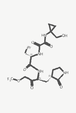 CC(C)C[C@H](NC(=O)C(=O)NC1(CO)CC1)C(=O)N[C@@H](C[C@@H]1CCNC1=O)C(=O)COC(F)(F)F